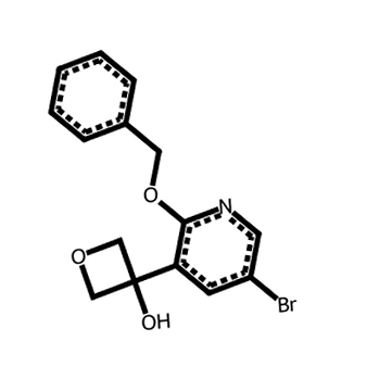 OC1(c2cc(Br)cnc2OCc2ccccc2)COC1